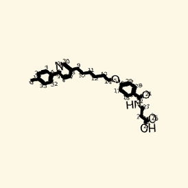 Cc1ccc(-c2ccc(CCCCCCOc3ccc(C(=O)NCCC(=O)O)cc3)cn2)cc1